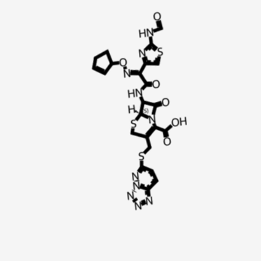 O=CNc1nc(C(=NOC2C=CCC2)C(=O)NC2C(=O)N3C(C(=O)O)=C(CSc4ccc5nnnn5n4)CS[C@@H]23)cs1